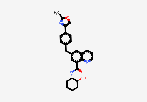 Cc1nc(-c2ccc(Cc3cc(C(=O)N[C@H]4CCCC[C@@H]4O)c4ncccc4c3)cc2)co1